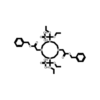 CCOC(OCC)(N1CCN(CC(=O)OCc2ccccc2)CCN(C(OCC)(OCC)P(=O)(O)O)CCN(CC(=O)OCc2ccccc2)CC1)P(=O)(O)O